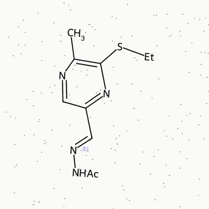 CCSc1nc(/C=N/NC(C)=O)cnc1C